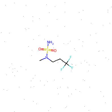 CN(CCC(F)(F)F)S(N)(=O)=O